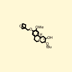 COc1cc2c(cc1OCC13COC(C1)C3)CCN1C[C@@H](OC(C)(C)C)[C@H](O)C[C@H]21